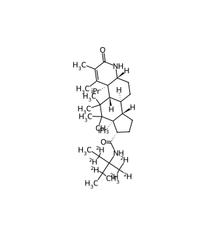 [2H]C([2H])([2H])C(NC(=O)[C@H]1CC[C@H]2[C@@H]3CC[C@H]4NC(=O)C(C)=C(C)[C@]4(C(C)C)[C@H]3C(C)(C)C(C)(C)[C@]12C(C)C)(C([2H])([2H])C)C([2H])(C)C